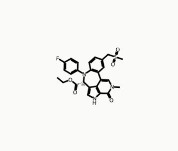 CCOC(=O)[C@H]1c2c[nH]c3c(=O)n(C)cc(c23)-c2cc(CS(C)(=O)=O)ccc2N1c1ccc(F)cc1